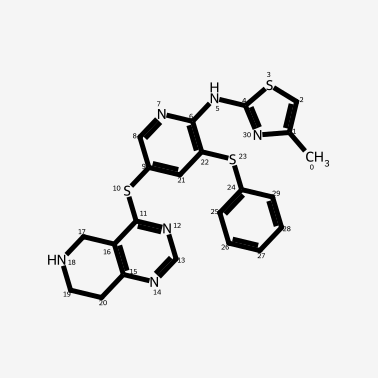 Cc1csc(Nc2ncc(Sc3ncnc4c3CNCC4)cc2Sc2ccccc2)n1